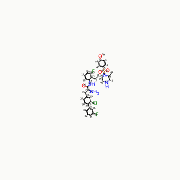 COc1ccc(S(=O)(=O)N2[C@@H](CCc3c(F)cccc3NC(=O)[C@@H](N)Cc3ccc(-c4cccc(F)c4)c(Cl)c3)CNC[C@@H]2C)cc1